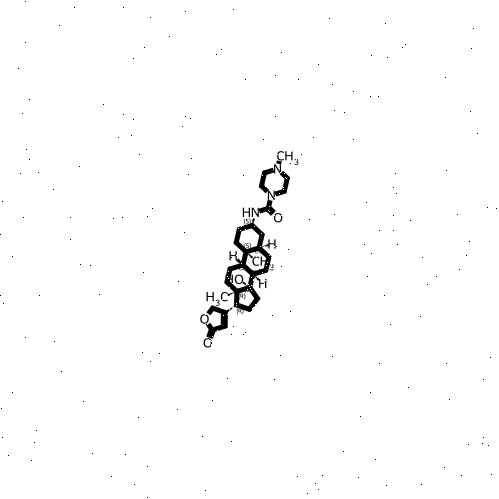 CN1CCN(C(=O)N[C@H]2CC[C@@]3(C)[C@H](CC[C@@H]4[C@@H]3CC[C@]3(C)[C@@H](C5=CC(=O)OC5)CC[C@]43O)C2)CC1